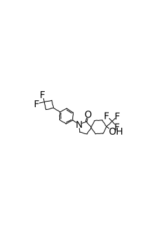 O=C1N(c2ccc(C3CC(F)(F)C3)cc2)CCC12CCC(O)(C(F)(F)F)CC2